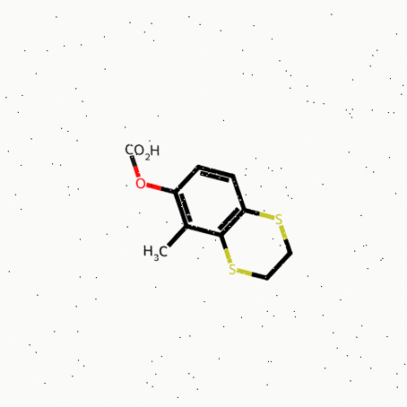 Cc1c(OC(=O)O)ccc2c1SCCS2